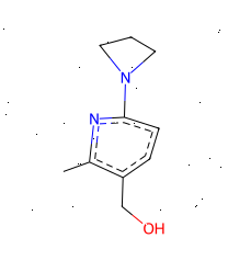 Cc1nc(N2CCC2)ccc1CO